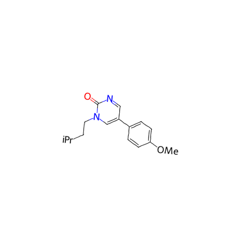 COc1ccc(-c2cnc(=O)n(CCC(C)C)c2)cc1